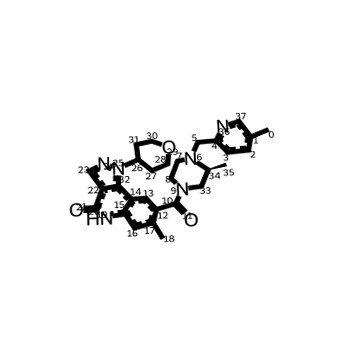 Cc1ccc(CN2CCN(C(=O)c3cc4c(cc3C)[nH]c(=O)c3cnn(C5CCOCC5)c34)C[C@@H]2C)nc1